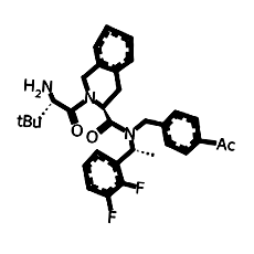 CC(=O)c1ccc(CN(C(=O)[C@@H]2Cc3ccccc3CN2C(=O)[C@@H](N)C(C)(C)C)[C@H](C)c2cccc(F)c2F)cc1